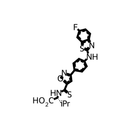 CC(C)[C@@H](NC(=S)c1cc(-c2ccc(Nc3nc4ccc(F)cc4s3)cc2)no1)C(=O)O